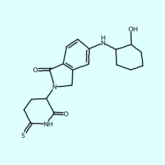 O=C1NC(=S)CCC1N1Cc2cc(NC3CCCCC3O)ccc2C1=O